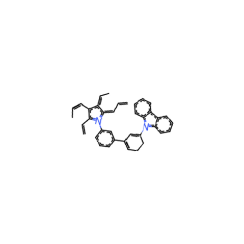 C=C/C=c1\c(=C/C)c(/C=C\C)c(C=C)n1-c1cccc(C2=CCCC(n3c4ccccc4c4ccccc43)=C2)c1